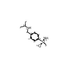 CC(C)NCc1ccc(S(C)(=N)=O)cc1